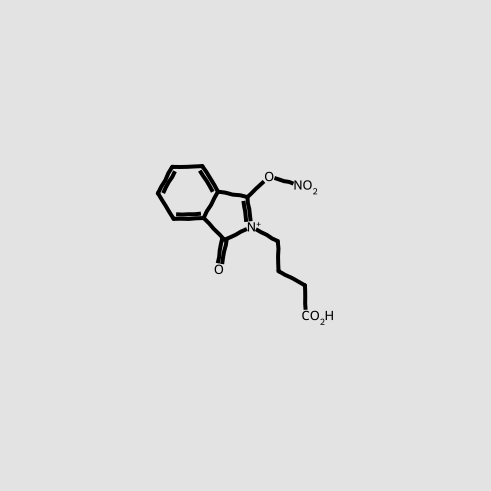 O=C(O)CCC[N+]1=C(O[N+](=O)[O-])c2ccccc2C1=O